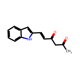 CC(=O)CC(=O)/C=C/c1cc2ccccc2[nH]1